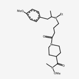 CCN(CCCC(=O)N1CCC(C(=O)N(C)OC)CC1)C(C)Cc1ccc(OC)cc1